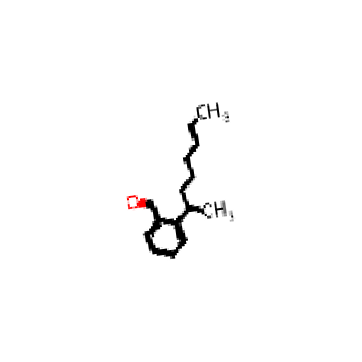 CCCCCCC(C)c1ccccc1C=O